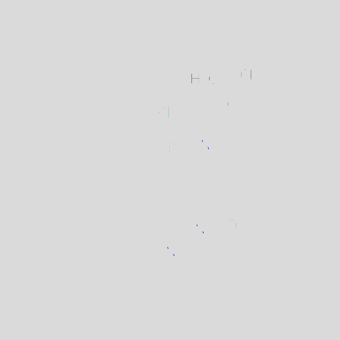 CC(C)OCCN(C(=O)CCl)c1ccc(C(=O)N2CCN(C/C=C/c3ccccc3)CC2)cc1